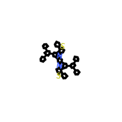 c1ccc(-c2cc(-c3ccccc3)cc(-c3cc4c5cc6c(cc5n5c7ccc8sc9ccccc9c8c7c(c3)c45)c3cc(-c4cc(-c5ccccc5)cc(-c5ccccc5)c4)cc4c5c7c(ccc5n6c34)sc3ccccc37)c2)cc1